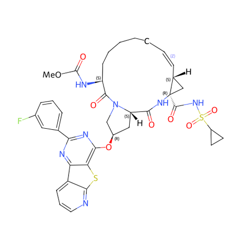 COC(=O)N[C@H]1CCCCC/C=C\[C@@H]2C[C@@]2(C(=O)NS(=O)(=O)C2CC2)NC(=O)[C@@H]2C[C@@H](Oc3nc(-c4cccc(F)c4)nc4c3sc3ncccc34)CN2C1=O